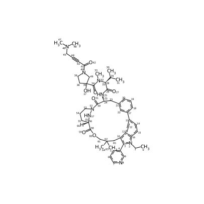 CCn1c(-c2cccnc2)c2c3cc(ccc31)-c1cccc(c1)C[C@H](NC(=O)[C@H](C(C)C)N(C)C(=O)C1(O)CCN(C(=O)C#CCN(C)C)C1)C(=O)N1CCC[C@H](N1)C(=O)OCC(C)(C)C2